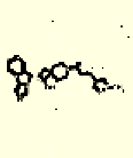 Cn1cc(CCC(=O)N2CCC3(CC2)C[C@@H](C2c4ccccc4-c4cncn42)[C@H]3O)cn1